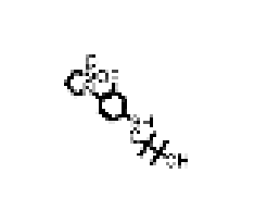 CC(C)(O)C(C)(C)OBc1ccc(N2CCCS2(=O)=O)c(F)c1